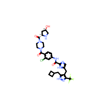 O=C(Nc1ccc(C(=O)N2CCN(C(=O)[C@@H]3C[C@@H](O)CN3)CC2)c(Cl)c1)c1ncc(Cc2c(C(F)(F)F)n[nH]c2CC2CCC2)[nH]1